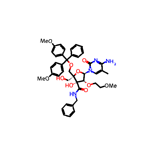 COCCO[C@H]1[C@H](n2cc(C)c(N)nc2=O)O[C@](CO)(COC(c2ccccc2)(c2ccc(OC)cc2)c2ccc(OC)cc2)[C@]1(O)C(=O)NCc1ccccc1